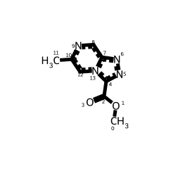 COC(=O)c1nnc2cnc(C)cn12